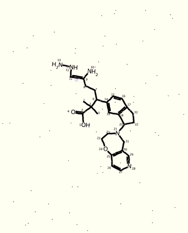 CC(C)(C(=O)O)C(CC/C(N)=C/NN)c1ccc2c(c1)C(N1CCOc3ccncc3C1)CC2